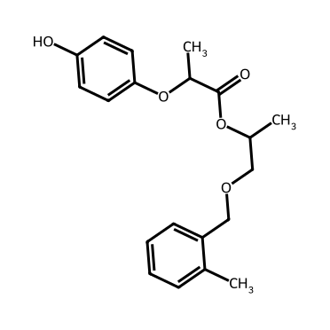 Cc1ccccc1COCC(C)OC(=O)C(C)Oc1ccc(O)cc1